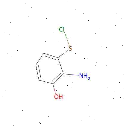 Nc1c(O)cccc1SCl